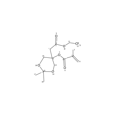 C=C(C)C(=O)OC1(CC(=O)OCC(F)(F)F)COC(C)(C)OC1